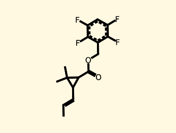 CC=CC1C(C(=O)OCc2c(F)c(F)cc(F)c2F)C1(C)C